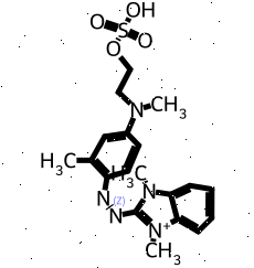 Cc1cc(N(C)CCOS(=O)(=O)O)ccc1/N=N\c1n(C)c2ccccc2[n+]1C